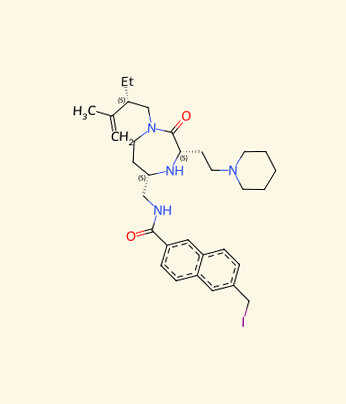 C=C(C)[C@H](CC)CN1CC[C@@H](CNC(=O)c2ccc3cc(CI)ccc3c2)N[C@@H](CCN2CCCCC2)C1=O